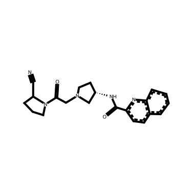 N#CC1CCCN1C(=O)CN1CC[C@H](NC(=O)c2ccc3ccccc3n2)C1